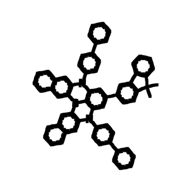 CC1(C)c2ccccc2-c2cc(-c3cc4c5c(c3)N(c3ccc(-c6ccccc6)cc3)c3cc6ccccc6cc3B5c3cc5ccccc5cc3N4c3ccc(-c4ccccc4)cc3)ccc21